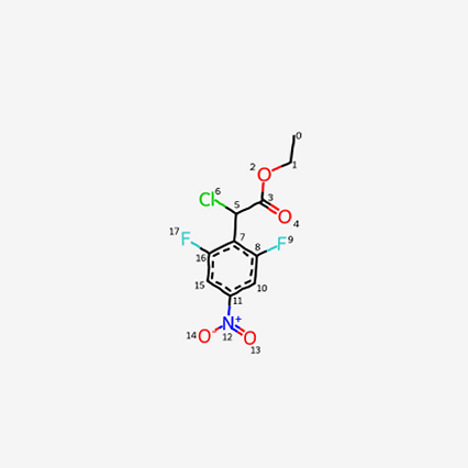 CCOC(=O)C(Cl)c1c(F)cc([N+](=O)[O-])cc1F